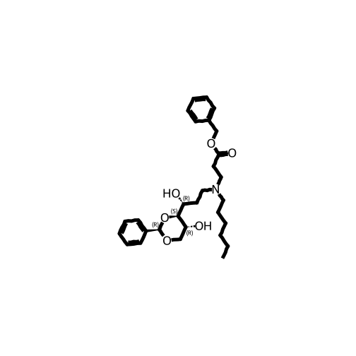 CCCCCCN(CCC(=O)OCc1ccccc1)CC[C@@H](O)[C@@H]1O[C@H](c2ccccc2)OC[C@H]1O